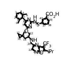 Cc1cccc(C)c1-c1cc(OCC(CC2(C)CC2)NCc2cnc3oc(C(C)C)c(C(F)(F)F)c3n2)nc(NSc2cccc(C(=O)O)c2)n1